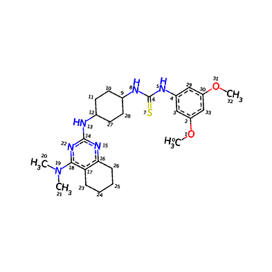 COc1cc(NC(=S)NC2CCC(Nc3nc4c(c(N(C)C)n3)CCCC4)CC2)cc(OC)c1